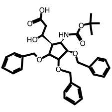 CC(C)(C)OC(=O)N[C@H]1[C@H](C(O)CC(=O)O)C(OCc2ccccc2)C(OCc2ccccc2)[C@@H]1OCc1ccccc1